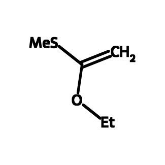 C=C(OCC)SC